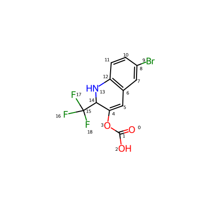 O=C(O)OC1=Cc2cc(Br)ccc2NC1C(F)(F)F